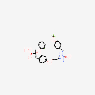 CN1C(=O)N(Cc2ccc(OC(F)(F)F)cc2)CC1CCOc1ccc(CC(C)(Oc2ccccc2F)C(=O)O)cc1